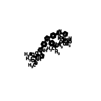 COC(=O)N[C@@H](C(=O)N1CCC[C@H]1c1ncc(-c2ccc([C@@H]3CC[C@@H](c4ccc(-c5cnc([C@@H]6CCCN6C(=O)[C@@H](NC(=O)O)[C@H](C)OC)[nH]5)cc4)N3c3ccc(C(C)(C)C)cc3)cc2)[nH]1)[C@H](C)OC